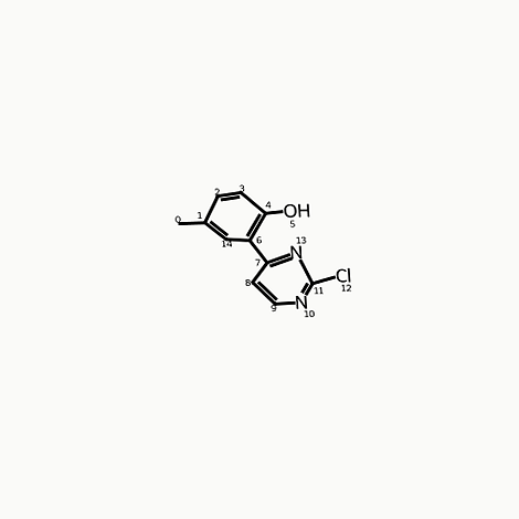 Cc1ccc(O)c(-c2ccnc(Cl)n2)c1